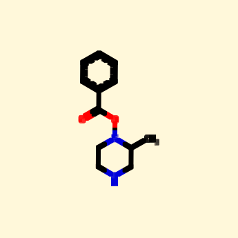 CC1CNCCN1OC(=O)c1ccccc1